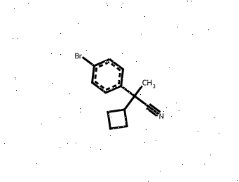 CC(C#N)(c1ccc(Br)cc1)C1CCC1